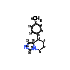 Cc1ccc(C2CCCn3cncc32)cc1